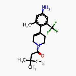 Cc1cc(N)cc(C(F)(F)F)c1C1=CCN(C(=O)CC(C)(C)C)CC1